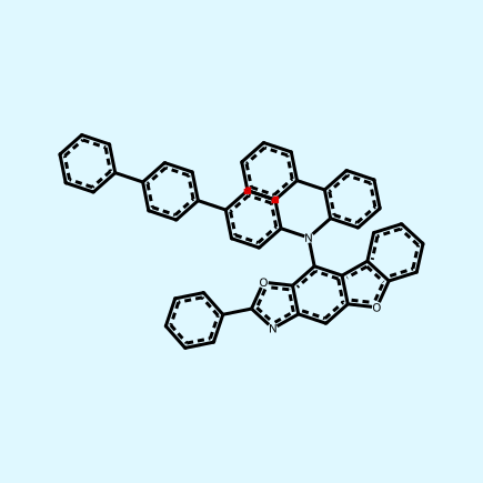 c1ccc(-c2ccc(-c3ccc(N(c4ccccc4-c4ccccc4)c4c5oc(-c6ccccc6)nc5cc5oc6ccccc6c45)cc3)cc2)cc1